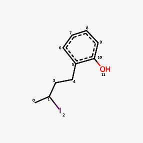 CC(I)CCc1ccccc1O